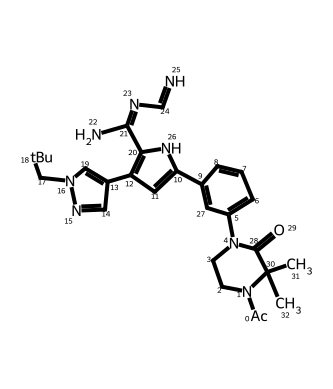 CC(=O)N1CCN(c2cccc(-c3cc(-c4cnn(CC(C)(C)C)c4)c(/C(N)=N\C=N)[nH]3)c2)C(=O)C1(C)C